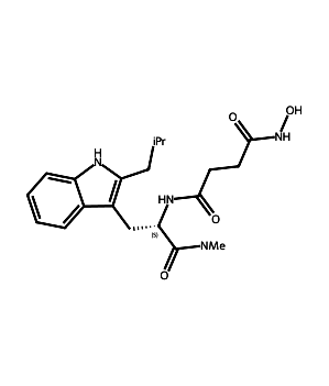 CNC(=O)[C@H](Cc1c(CC(C)C)[nH]c2ccccc12)NC(=O)CCC(=O)NO